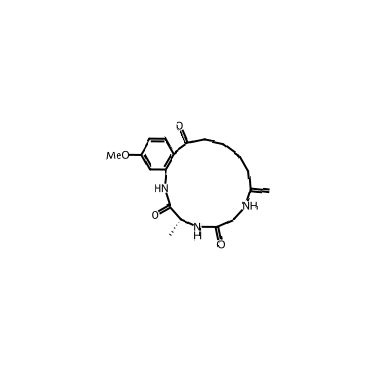 C=C1CCCCC(=O)c2ccc(OC)cc2NC(=O)[C@@H](C)NC(=O)CN1